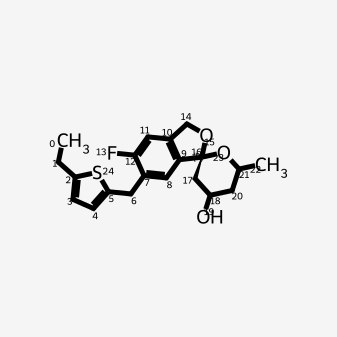 CCc1ccc(Cc2cc3c(cc2F)CO[C@@]32CC(O)CC(C)O2)s1